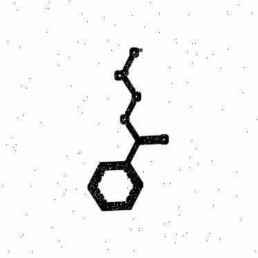 O=C(OO[Cl+][O-])c1ccccc1